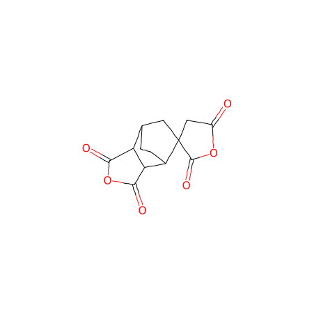 O=C1CC2(CC3CCC2C2C(=O)OC(=O)C32)C(=O)O1